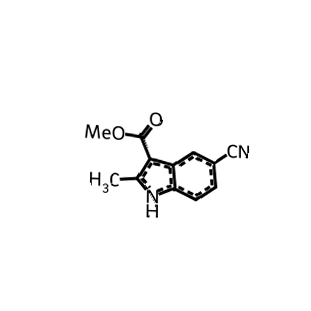 COC(=O)c1c(C)[nH]c2ccc(C#N)cc12